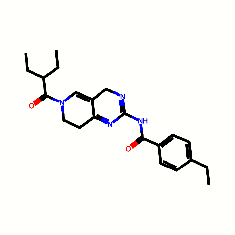 CCc1ccc(C(=O)NC2=NCC3=CN(C(=O)C(CC)CC)CCC3=N2)cc1